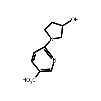 O=C(O)c1ccc(N2CCC(O)C2)nc1